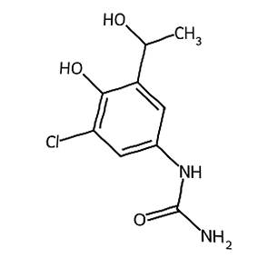 CC(O)c1cc(NC(N)=O)cc(Cl)c1O